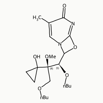 CCCCOC[C@@](OC)([C@H](OCCCC)C1Oc2nc(=O)c(C)cn21)C1(O)CC1